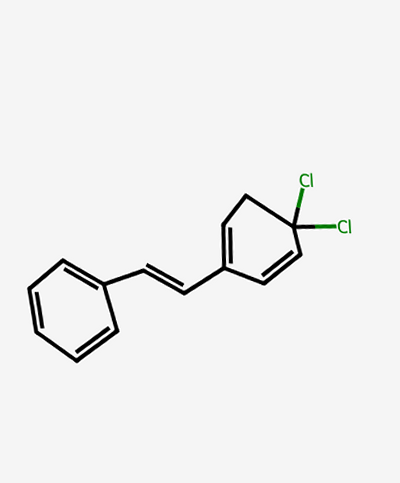 ClC1(Cl)C=CC(/C=C/c2ccccc2)=CC1